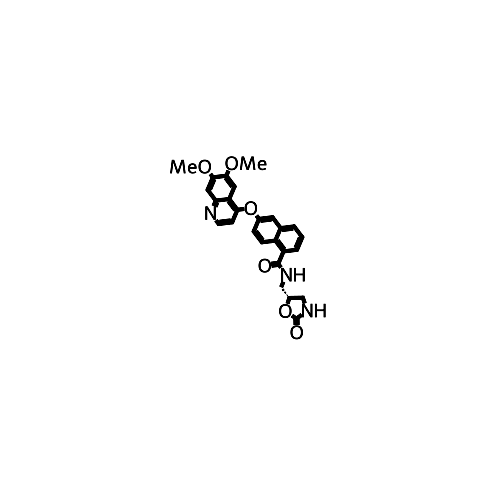 COc1cc2nccc(Oc3ccc4c(C(=O)NC[C@@H]5CNC(=O)O5)cccc4c3)c2cc1OC